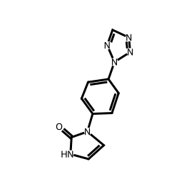 O=c1[nH]ccn1-c1ccc(-n2ncnn2)cc1